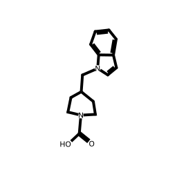 O=C(O)N1CCC(Cn2ccc3ccccc32)CC1